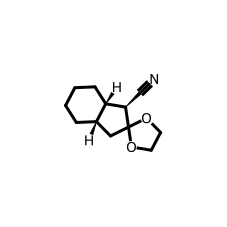 N#C[C@@H]1[C@H]2CCCC[C@H]2CC12OCCO2